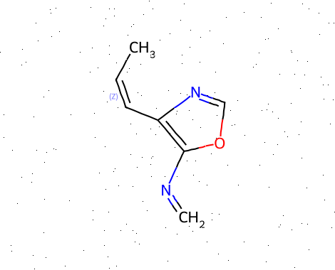 C=Nc1ocnc1/C=C\C